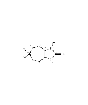 CN1C(=O)OC2CCC(C)(C)CCC21